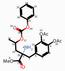 COC(=O)[C@](N)(Cc1ccc(OC(C)=O)c(OC(C)=O)c1)CC(C)OC(=O)Oc1ccccc1